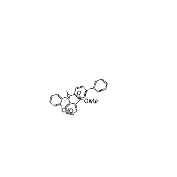 COC(=O)c1ccccc1[Si](C)(c1ccc(-c2ccccc2)cc1)c1ccccc1C=O